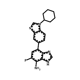 Nc1c(F)cc(-c2ccc3c(c2)ncn3C2CCCCC2)c2nc[nH]c12